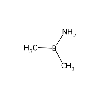 CB(C)N